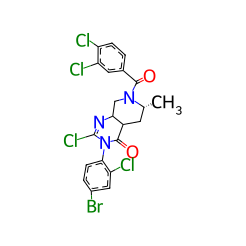 C[C@@H]1CC2C(=O)N(c3ccc(Br)cc3Cl)C(Cl)=NC2CN1C(=O)c1ccc(Cl)c(Cl)c1